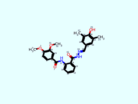 COc1ccc(C(=O)Nc2ccccc2C(=O)N/N=C/c2cc(C)c(O)c(C)c2)cc1OC